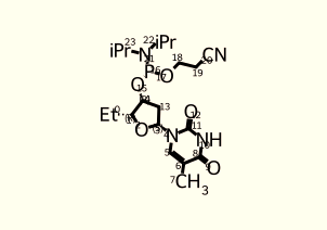 CC[C@H]1O[C@H](n2cc(C)c(=O)[nH]c2=O)C[C@H]1OP(OCCC#N)N(C(C)C)C(C)C